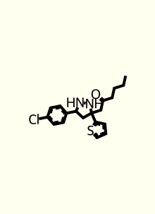 CCCCC(=O)CC1(c2cccs2)CC(c2ccc(Cl)cc2)NN1